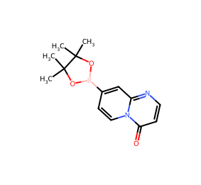 CC1(C)OB(c2ccn3c(=O)ccnc3c2)OC1(C)C